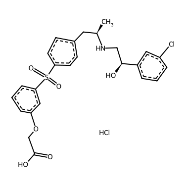 C[C@H](Cc1ccc(S(=O)(=O)c2cccc(OCC(=O)O)c2)cc1)NC[C@H](O)c1cccc(Cl)c1.Cl